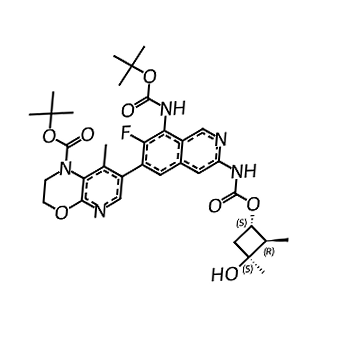 Cc1c(-c2cc3cc(NC(=O)O[C@H]4C[C@](C)(O)[C@@H]4C)ncc3c(NC(=O)OC(C)(C)C)c2F)cnc2c1N(C(=O)OC(C)(C)C)CCO2